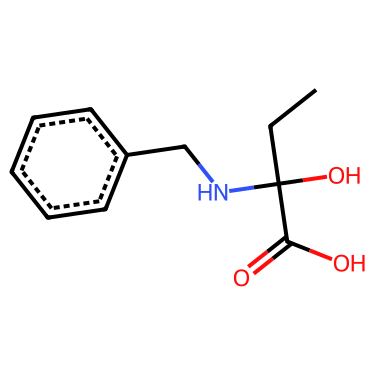 CCC(O)(NCc1ccccc1)C(=O)O